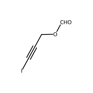 O=COCC#CI